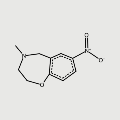 CN1CCOc2ccc([N+](=O)[O-])cc2C1